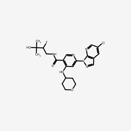 CC(C)(O)C(F)CNC(=O)c1cnc(-n2ncc3cc(Cl)cnc32)cc1NC1CCOCC1